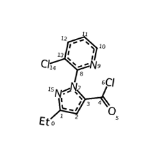 CCc1cc(C(=O)Cl)n(-c2ncccc2Cl)n1